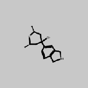 C[C@@H]1CC(O)(c2ccc3c(c2)CNC3)C[C@H](C)O1